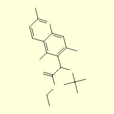 CCOC(=O)C(OC(C)(C)C)c1c(C)cc2nc(C)ccc2c1Br